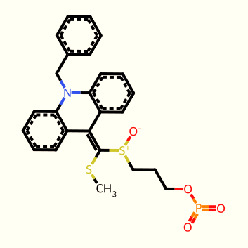 CSC(=C1c2ccccc2N(Cc2ccccc2)c2ccccc21)[S+]([O-])CCCOP(=O)=O